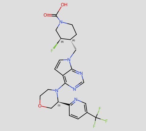 O=C(O)N1CC[C@H](Cn2ccc3c(N4CCOC[C@@H]4c4ccc(C(F)(F)F)cn4)ncnc32)[C@@H](F)C1